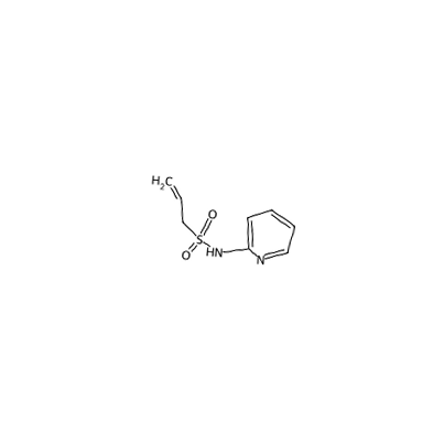 C=CCS(=O)(=O)Nc1ccccn1